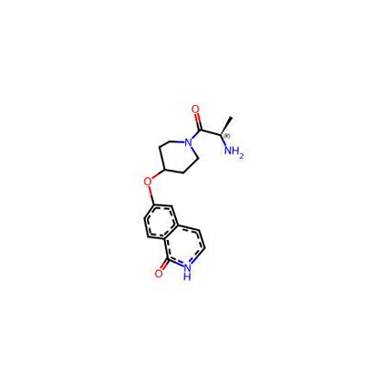 C[C@@H](N)C(=O)N1CCC(Oc2ccc3c(=O)[nH]ccc3c2)CC1